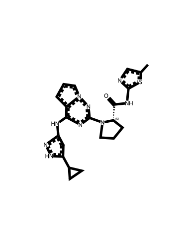 Cc1cnc(NC(=O)[C@@H]2CCCN2c2nc(Nc3cc(C4CC4)[nH]n3)c3cccn3n2)s1